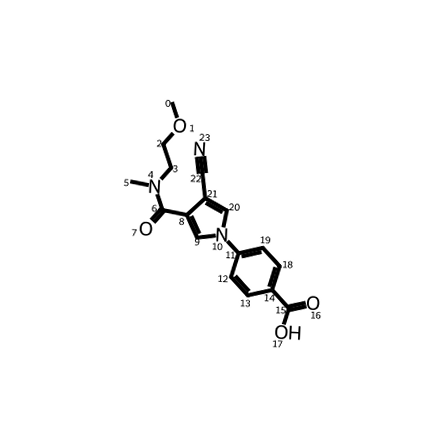 COCCN(C)C(=O)c1cn(-c2ccc(C(=O)O)cc2)cc1C#N